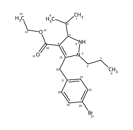 CCCN1NC(C(C)C)C(C(=O)OCC)=C1Cc1ccc(Br)cc1